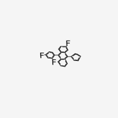 Fc1ccc(-c2c3ccccc3c(-c3ccccc3)c3cc(F)ccc23)c(F)c1